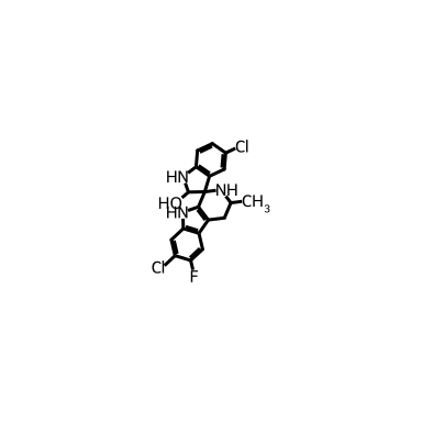 CC1Cc2c([nH]c3cc(Cl)c(F)cc23)C2(N1)c1cc(Cl)ccc1NC2O